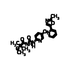 COC(C)(C)C(=O)NC(=O)Nc1ccc(ON2CC=CC=C2c2cnc(C)o2)cn1